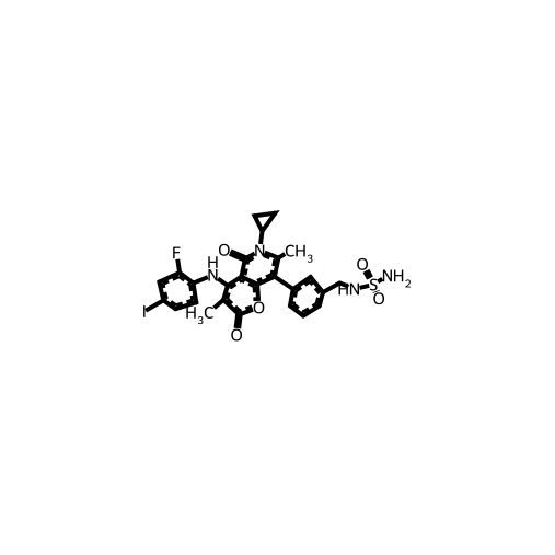 Cc1c(Nc2ccc(I)cc2F)c2c(=O)n(C3CC3)c(C)c(-c3cccc(CNS(N)(=O)=O)c3)c2oc1=O